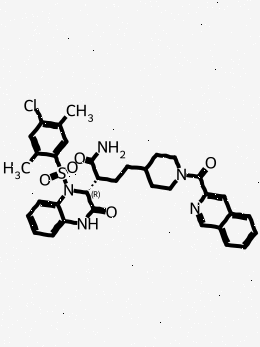 Cc1cc(S(=O)(=O)N2c3ccccc3NC(=O)[C@H]2C(CCC2CCN(C(=O)c3cc4ccccc4cn3)CC2)C(N)=O)c(C)cc1Cl